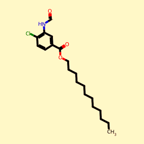 CCCCCCCCCCCCOC(=O)c1ccc(Cl)c(N[C]=O)c1